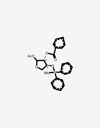 CC(=O)OC1OC[C@H](O[Si](c2ccccc2)(c2ccccc2)C(C)(C)C)[C@H]1OC(=O)c1ccccc1